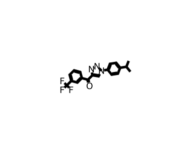 CC(C)c1ccc(-n2cc(C(=O)c3cccc(C(F)(F)F)c3)nn2)cc1